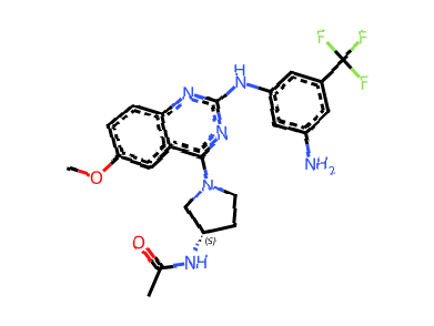 COc1ccc2nc(Nc3cc(N)cc(C(F)(F)F)c3)nc(N3CC[C@H](NC(C)=O)C3)c2c1